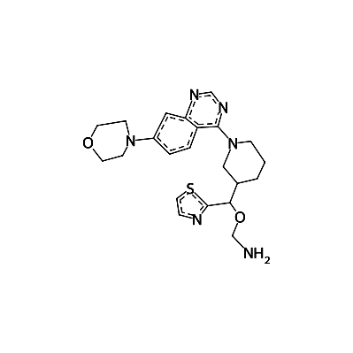 NCOC(c1nccs1)C1CCCN(c2ncnc3cc(N4CCOCC4)ccc23)C1